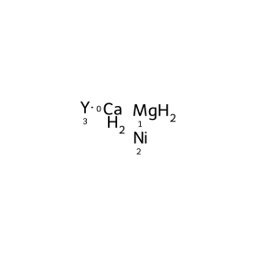 [CaH2].[MgH2].[Ni].[Y]